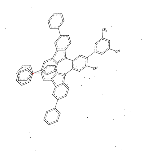 N#Cc1cc(-c2cc(-n3c4ccc(-c5ccccc5)cc4c4cc(-c5ccccc5)ccc43)c(-n3c4ccc(-c5ccccc5)cc4c4cc(-c5ccccc5)ccc43)cc2C#N)cc(C(F)(F)F)c1